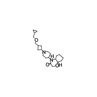 O=C1CO[C@H]2CCCC[C@@H]2N1C1CCN(C2CC(COCC3CC3)C2)CC1